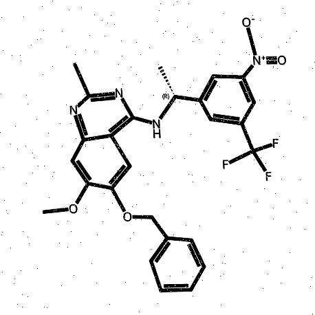 COc1cc2nc(C)nc(N[C@H](C)c3cc([N+](=O)[O-])cc(C(F)(F)F)c3)c2cc1OCc1ccccc1